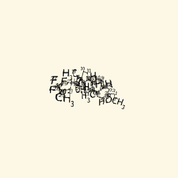 CC[C@@]1(O)CC[C@@]2(C)[C@H](CC[C@@H]3[C@@H]2CC[C@]2(C)[C@@H]([C@H](C)[C@H](O)CC[C@@H](C)C(F)(F)F)CC[C@@H]32)C1